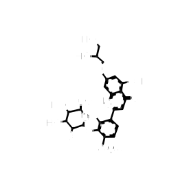 CCCc1c(-c2cc(=O)c3c(O)cc(OCC(O)CO)cc3o2)ccc(OC)c1OC1OC(C(=O)O)C(O)C(O)C1O